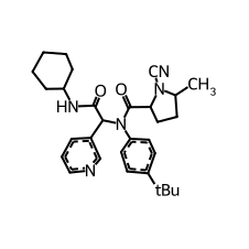 CC1CCC(C(=O)N(c2ccc(C(C)(C)C)cc2)C(C(=O)NC2CCCCC2)c2cccnc2)N1C#N